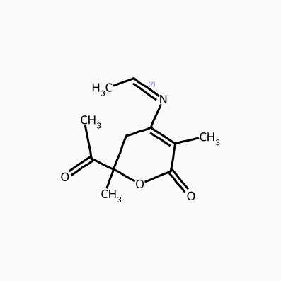 C/C=N\C1=C(C)C(=O)OC(C)(C(C)=O)C1